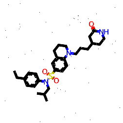 CCc1ccc(N(CC(C)C)S(=O)(=O)c2ccc3c(c2)CCCN3CCCC2CCNC(=O)C2)cc1